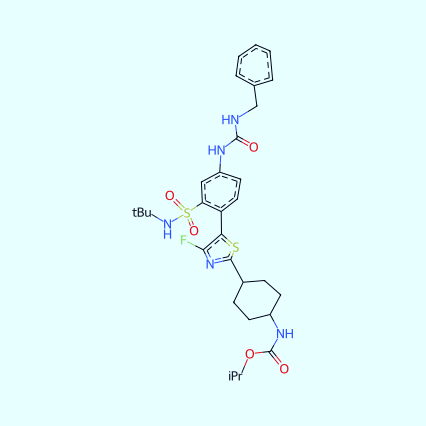 CC(C)OC(=O)NC1CCC(c2nc(F)c(-c3ccc(NC(=O)NCc4ccccc4)cc3S(=O)(=O)NC(C)(C)C)s2)CC1